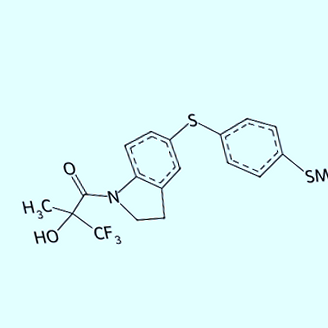 CSc1ccc(Sc2ccc3c(c2)CCN3C(=O)C(C)(O)C(F)(F)F)cc1